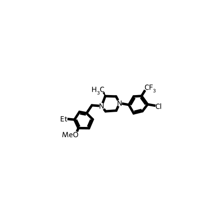 CCc1cc(CN2CCN(c3ccc(Cl)c(C(F)(F)F)c3)C[C@@H]2C)ccc1OC